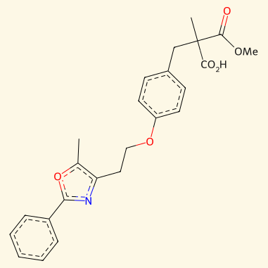 COC(=O)C(C)(Cc1ccc(OCCc2nc(-c3ccccc3)oc2C)cc1)C(=O)O